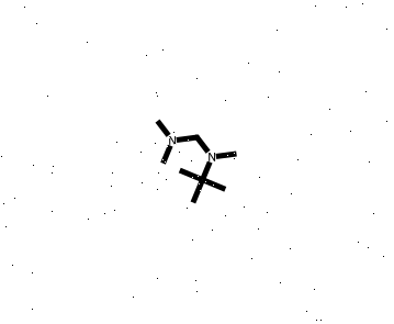 CN(C)CN(C)C(C)(C)C